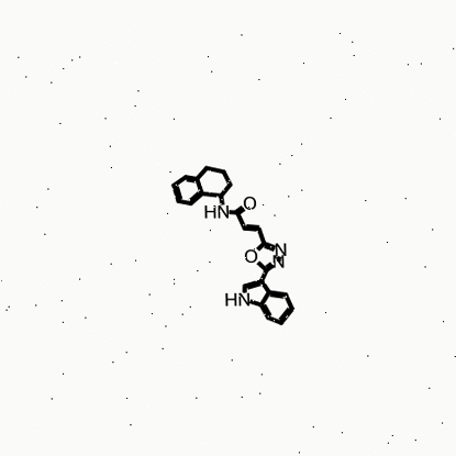 O=C(C=Cc1nnc(-c2c[nH]c3ccccc23)o1)NC1CCCc2ccccc21